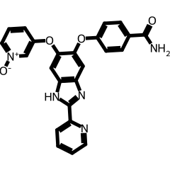 NC(=O)c1ccc(Oc2cc3nc(-c4ccccn4)[nH]c3cc2Oc2ccc[n+]([O-])c2)cc1